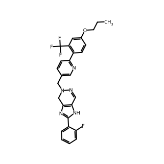 CCCOc1ccc(-c2ccc(CN3Cc4nc(-c5ccccc5F)[nH]c4C=N3)cn2)c(C(F)(F)F)c1